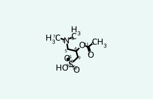 CC(=O)OC(CN(C)C)CS(=O)(=O)O